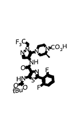 C[C@H]1CN(c2c(NC(=O)c3nc(-c4c(F)cccc4F)sc3NC(=O)OC(C)(C)C)cnn2CC(F)(F)F)CCN1C(=O)O